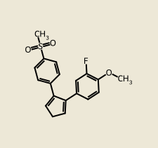 COc1ccc(C2=CCC=C2c2ccc(S(C)(=O)=O)cc2)cc1F